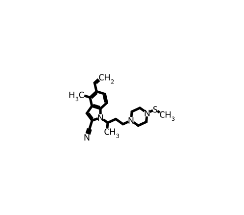 C=Cc1ccc2c(cc(C#N)n2C(C)CCN2CCN(SC)CC2)c1C